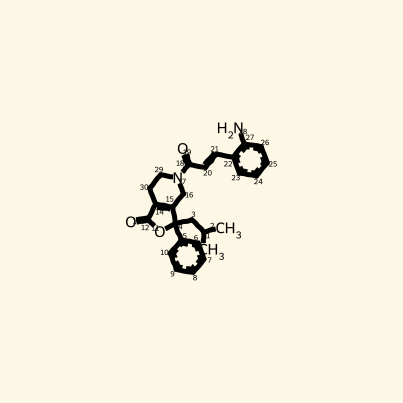 CC(C)CC1(c2ccccc2)OC(=O)C2=C1CN(C(=O)C=Cc1ccccc1N)CC2